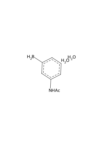 Bc1cccc(NC(C)=O)c1.O.O